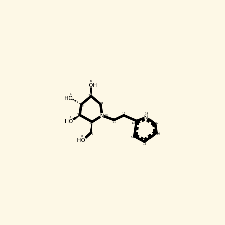 OC[C@H]1[C@@H](O)[C@H](O)[C@@H](O)CN1CCc1ccccn1